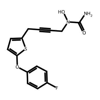 NC(=O)N(O)CC#CCc1ccc(Oc2ccc(F)cc2)s1